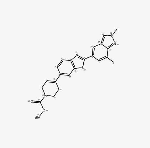 Cc1cc(-c2nc3ccc(C4=CCN(C(=O)OC(C)(C)C)CC4)cc3s2)cc2cn(C)nc12